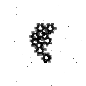 O=C1c2cccc(-n3c4ccccc4c4ccc(-c5cncnc5)cc43)c2C(=O)N1c1c(-c2ccccc2)cccc1-c1ccccc1